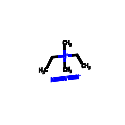 CC[N+](C)(C)CC.[N-]=[N+]=[N-]